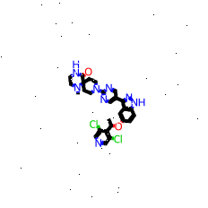 CC(Oc1ccc2[nH]nc(-c3cnc(N4CCC5(CC4)C(=O)NCCN5C)nc3)c2c1)c1c(Cl)cncc1Cl